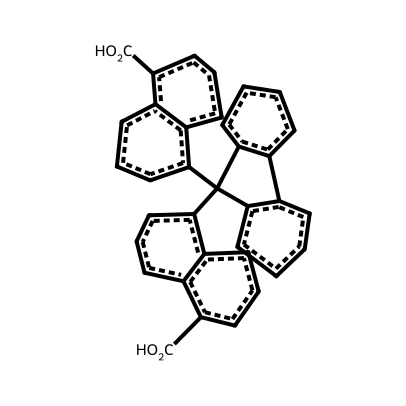 O=C(O)c1cccc2c(C3(c4cccc5c(C(=O)O)cccc45)c4ccccc4-c4ccccc43)cccc12